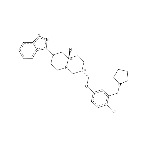 Clc1ccc(OC[C@H]2CC[C@H]3CN(c4noc5ccccc45)CCN3C2)cc1CN1CCCC1